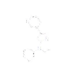 CCN(c1ccccc1)c1cc(-c2cccnc2)on1